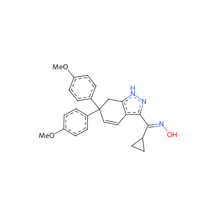 COc1ccc(C2(c3ccc(OC)cc3)C=Cc3c(/C(=N/O)C4CC4)n[nH]c3C2)cc1